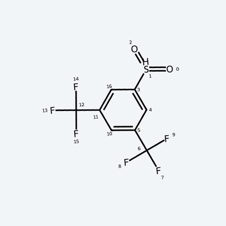 O=[SH](=O)c1cc(C(F)(F)F)cc(C(F)(F)F)c1